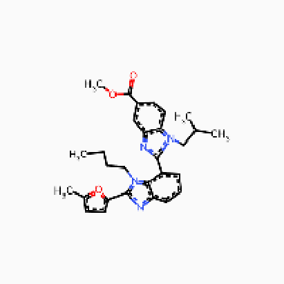 CCCCn1c(-c2ccc(C)o2)nc2cccc(-c3nc4cc(C(=O)OC)ccc4n3CC(C)C)c21